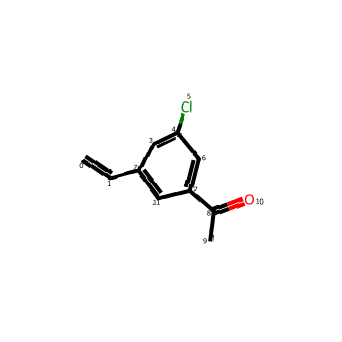 C=Cc1cc(Cl)cc(C(C)=O)c1